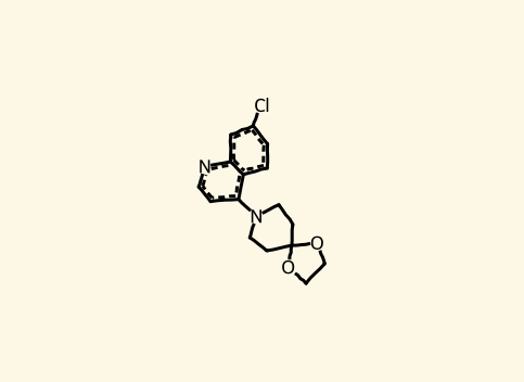 Clc1ccc2c(N3CCC4(CC3)OCCO4)ccnc2c1